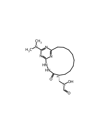 CN(C)c1nc2nc(n1)NNC(=O)[C@@H](CN(O)C=O)CCCCCCCC2